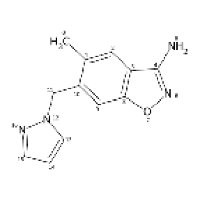 Cc1cc2c(N)noc2cc1Cn1cccn1